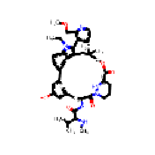 CCn1c(-c2cccnc2COC)c2c3cc(ccc31)-c1cc(O)cc(c1)C[C@H](NC(=O)C(NC)C(C)C)C(=O)N1CCC[C@H](N1)C(=O)OCC(C)(C)C2